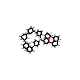 c1ccc(-c2ccc(N(c3ccc(-c4cccc5cccc(-c6ccccc6)c45)cc3)c3cccc(-c4cccc(-c5cccc(-c6ccccc6)c5)c4)c3)cc2)cc1